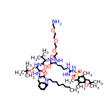 CCCCCCCCNC(=O)[C@H](Cc1ccccc1)NC(=O)[C@H](COC(C)(C)C)NC(=O)[C@@H](NC(=O)[C@H](CCCNC(=N)NS(=O)(=O)c1c(C)c(C)c2c(c1C)CC(C)(C)O2)NC(=O)COCCOCCOCCN)C(C)C